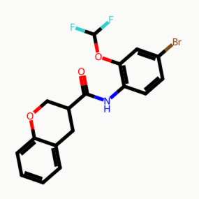 O=C(Nc1ccc(Br)cc1OC(F)F)C1COc2ccccc2C1